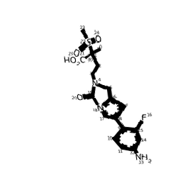 C[C@@](CCN1Cc2cc(-c3ccc(N)cc3F)cn2C1=O)(C(=O)O)S(C)(=O)=O